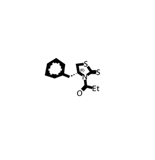 CCC(=O)N1C(=S)SC[C@H]1Cc1ccccc1